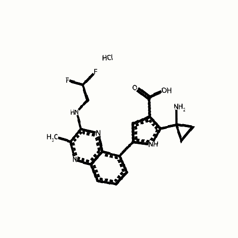 Cc1nc2cccc(-c3cc(C(=O)O)c(C4(N)CC4)[nH]3)c2nc1NCC(F)F.Cl